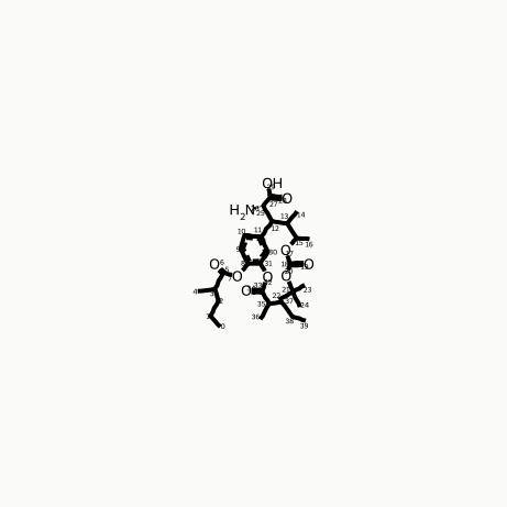 CCCC(C)C(=O)Oc1ccc(C(C(C)C(C)OC(=O)OC(C)(C)C)[C@H](N)C(=O)O)cc1OC(=O)C(C)CCC